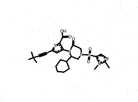 Cc1ncc(S(=O)(=O)N2CC(=O)N(c3cc(C#CC(C)(C)C)sc3C(=O)O)C(C3CCCCC3)C2)n1C